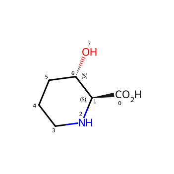 O=C(O)[C@H]1NCCC[C@@H]1O